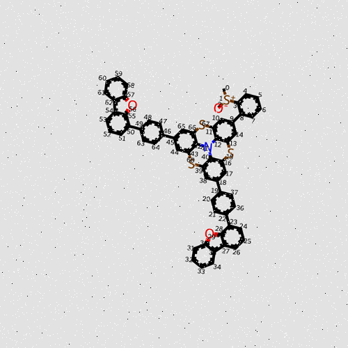 C[S+]([O-])c1ccccc1-c1cc2c3c(c1)Sc1cc(-c4ccc(-c5cccc6c5oc5ccccc56)cc4)cc4c1N3c1c(cc(-c3ccc(-c5cccc6c5oc5ccccc56)cc3)cc1S2)S4